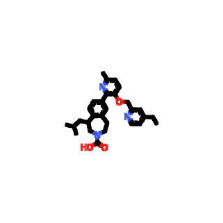 CCc1ccnc(COc2ccc(C)nc2-c2ccc3c(c2)CCN(C(=O)O)CC3CC(C)C)c1